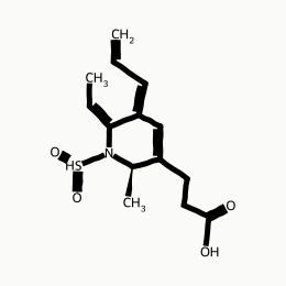 C=C/C=C1/C=C(CCC(=O)O)[C@@H](C)N([SH](=O)=O)/C1=C/C